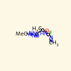 COCCn1cc(Nc2ncc(C#Cc3cc(C(=O)Nc4ccc(CN5CCN(C)CC5)c(F)c4)ccc3C)cn2)cn1